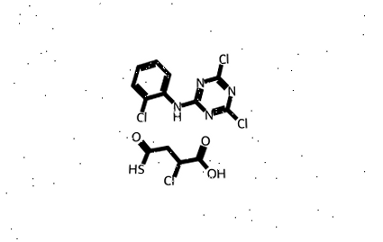 Clc1nc(Cl)nc(Nc2ccccc2Cl)n1.O=C(S)CC(Cl)C(=O)O